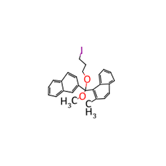 COC(OCCCI)(c1ccc2ccccc2c1)c1c(C)ccc2ccccc12